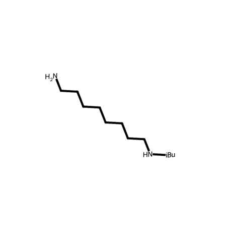 CCC(C)NCCCCCCCCN